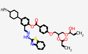 C=CC(=O)OC(COc1ccc(C(=O)Oc2ccc(C3CCC(CCC)CC3)cc2/C=N/Nc2nc3ccccc3s2)cc1)COC(O)C=C